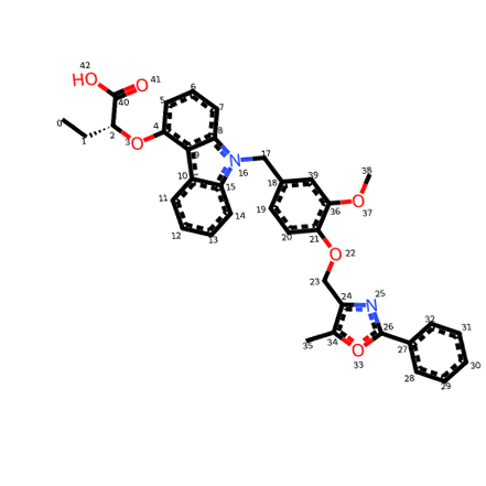 CC[C@@H](Oc1cccc2c1c1ccccc1n2Cc1ccc(OCc2nc(-c3ccccc3)oc2C)c(OC)c1)C(=O)O